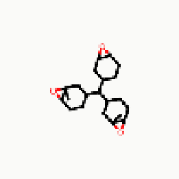 CC12CC(C(C3CCC4OC4C3)C3CCC4OC4(C)C3)CCC1O2